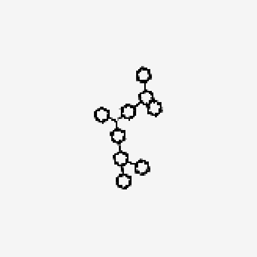 c1ccc(-c2cc(-c3ccc(N(c4ccccc4)c4ccc(-c5ccc(-c6ccccc6)c(-c6ccccc6)c5)cc4)cc3)c3ccccc3c2)cc1